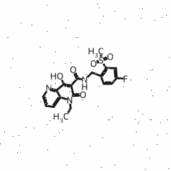 CCn1c(=O)c(C(=O)NCc2ccc(F)cc2S(C)(=O)=O)c(O)c2ncccc21